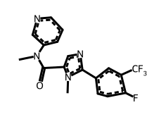 CN(C(=O)c1cnc(-c2ccc(F)c(C(F)(F)F)c2)n1C)c1cccnc1